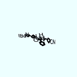 CC(C)(C)n1cc(-c2ccc(NC(=O)C(NCCc3ccc(C#N)cc3)c3ccccc3)nc2)cn1